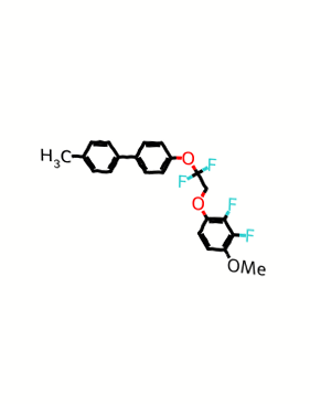 COc1ccc(OCC(F)(F)Oc2ccc(-c3ccc(C)cc3)cc2)c(F)c1F